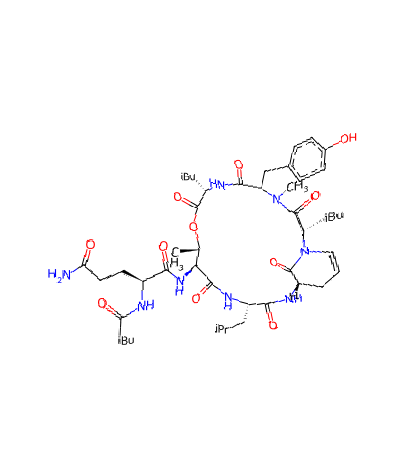 CCC(C)C(=O)N[C@@H](CCC(N)=O)C(=O)N[C@@H]1C(=O)N[C@@H](CC(C)C)C(=O)N[C@H]2CC=CN(C2=O)[C@@H](C(C)CC)C(=O)N(C)C(Cc2ccc(O)cc2)C(=O)N[C@@H](C(C)CC)C(=O)O[C@@H]1C